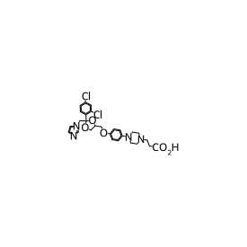 O=C(O)CCN1CCN(c2ccc(OCC3COC(Cn4ccnc4)(c4ccc(Cl)cc4Cl)O3)cc2)CC1